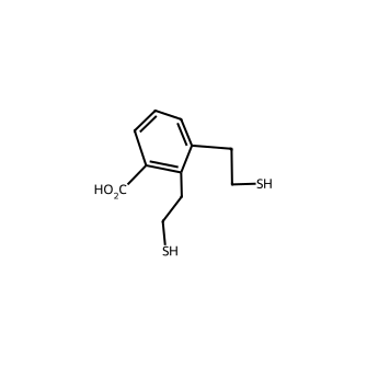 O=C(O)c1cccc(CCS)c1CCS